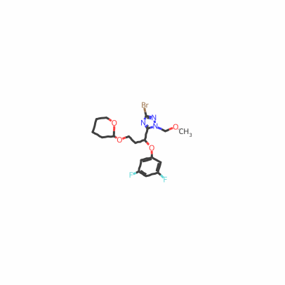 COCn1nc(Br)nc1C(CCOC1CCCCO1)Oc1cc(F)cc(F)c1